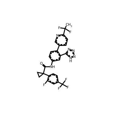 CC(F)(F)c1ccc(-c2ccc(NC(=O)C3(c4ccc(C(F)(F)F)cc4F)CC3)cc2-c2nnn[nH]2)cn1